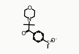 C[S+]([O-])c1ccc(C(=O)C(C)(C)N2CCOCC2)cc1